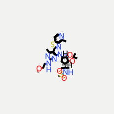 COCCNc1nc(C)c(-c2nc3c(C)nccc3s2)c(N[C@@H]2C[C@H](C(C)(C)NS(C)(=O)=O)[C@H]3OC(C)(C)O[C@H]32)n1